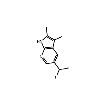 Cc1[nH]c2ncc(C(F)F)cc2c1C